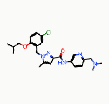 Cc1cc(C(=O)Nc2ccc(CN(C)C)nc2)nn1Cc1cc(Cl)ccc1OCC(C)C